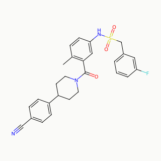 Cc1ccc(NS(=O)(=O)Cc2cccc(F)c2)cc1C(=O)N1CCC(c2ccc(C#N)cc2)CC1